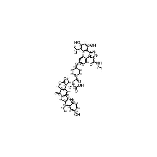 CCNC(=O)c1nnc(-c2cc(C(C)C)c(O)cc2O)n1-c1ccc(OC2CCN(C(=O)CN(C[C@@]3(CC)C(=O)OCc4c3cc3n(c4=O)Cc4c-3nc3ccc(O)cc3c4CC)C(=O)O)CC2)cc1